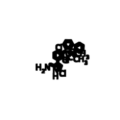 CC(C)(C)[Si](OCc1c(Cl)ccc(-c2cc(Cl)[nH]c2CN)c1Cl)(c1ccccc1)c1ccccc1